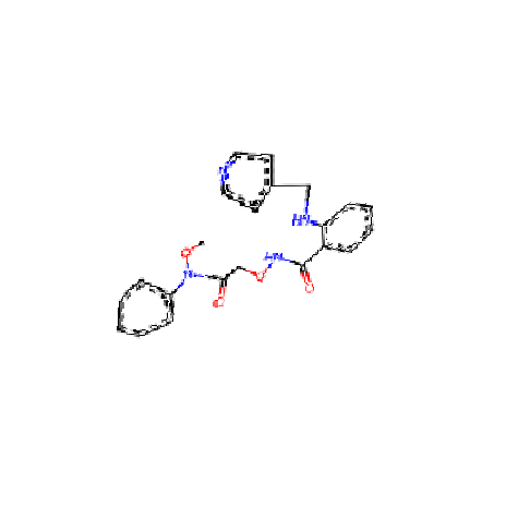 CON(C(=O)CONC(=O)c1ccccc1NCc1ccncc1)c1ccccc1